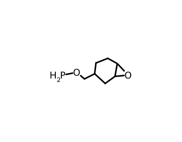 POCC1CCC2OC2C1